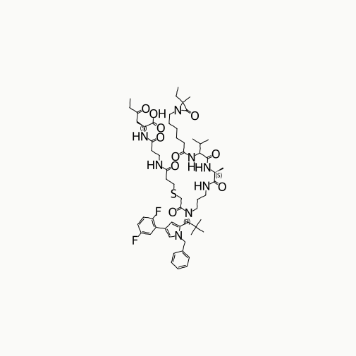 CCC(=O)C[C@H](NC(=O)CCNC(=O)CCSCC(=O)N(CCCNC(=O)[C@H](C)NC(=O)C(NC(=O)CCCCCN1C(=O)C1(C)CC)C(C)C)[C@@H](c1cc(-c2cc(F)ccc2F)cn1Cc1ccccc1)C(C)(C)C)C(=O)O